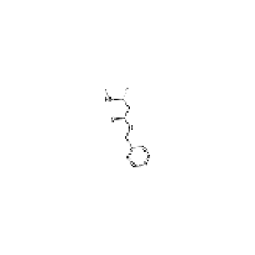 CN[C@H](C)CC(=O)OCc1ccccc1